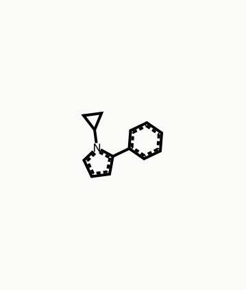 c1ccc(-c2cccn2C2CC2)cc1